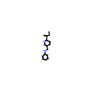 C=C(CC)c1ccc(CNc2ccccc2)cn1